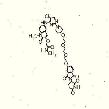 CNC(=O)COc1cc2cc(Nc3nc(N4CCC(OCCOCCOCCOc5ccc6c(c5)C(=O)N(C5CCC(=O)NC5=O)C6=O)CC4)ncc3Cl)ccc2n(C)c1=O